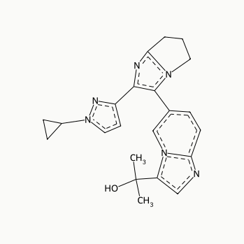 CC(C)(O)c1cnc2ccc(-c3c(-c4ccn(C5CC5)n4)nc4n3CCC4)cn12